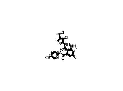 Nc1cc(Cl)cc(C(=O)Nc2ccc(Cl)cn2)c1C(=O)Nc1scc(CCl)c1Cl